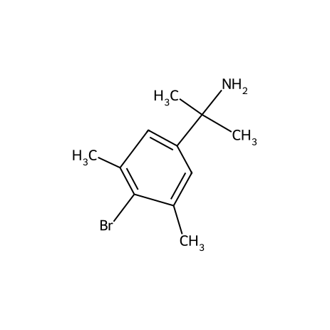 Cc1cc(C(C)(C)N)cc(C)c1Br